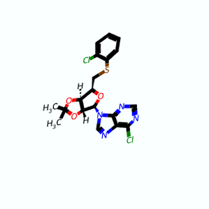 CC1(C)O[C@@H]2[C@@H](O1)[C@@H](CSc1ccccc1Cl)O[C@H]2n1cnc2c(Cl)ncnc21